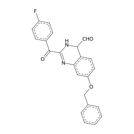 O=CC1NC(C(=O)c2ccc(F)cc2)=Nc2cc(OCc3ccccc3)ccc21